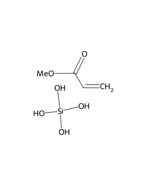 C=CC(=O)OC.O[Si](O)(O)O